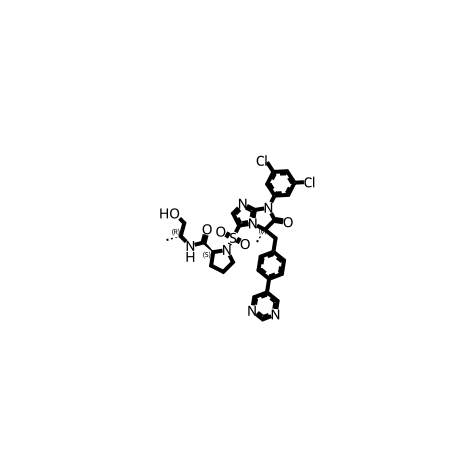 C[C@H](CO)NC(=O)[C@@H]1CCCN1S(=O)(=O)c1cnc2n1[C@](C)(Cc1ccc(-c3cncnc3)cc1)C(=O)N2c1cc(Cl)cc(Cl)c1